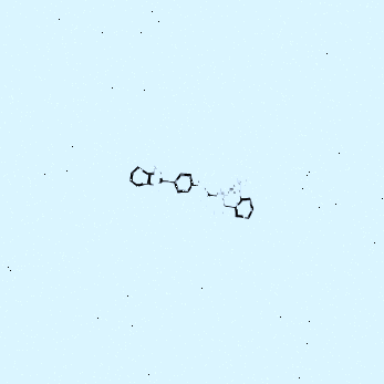 O=C(NC(=S)Nc1ccc(-c2nc3ccccc3s2)cc1)c1ccccc1[N+](=O)[O-]